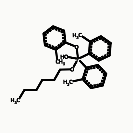 CCCCCCOP(O)(Oc1ccccc1C)(c1ccccc1C)c1ccccc1C